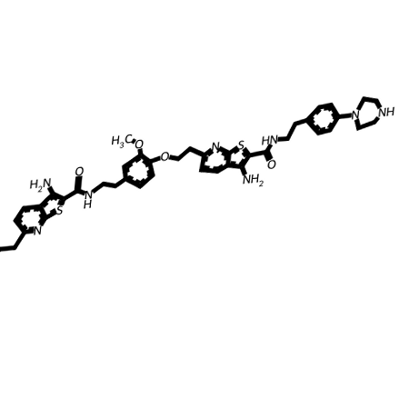 CCCc1ccc2c(N)c(C(=O)NCCc3ccc(OCCc4ccc5c(N)c(C(=O)NCCc6ccc(N7CCNCC7)cc6)sc5n4)c(OC)c3)sc2n1